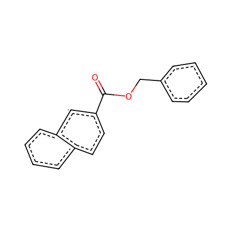 O=C(OCc1ccccc1)c1[c]c2ccccc2cc1